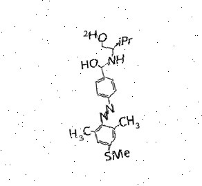 [2H]OC[C@H](N[C@H](O)c1ccc(/N=N/c2c(C)cc(SC)cc2C)cc1)C(C)C